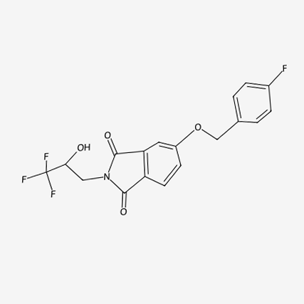 O=C1c2ccc(OCc3ccc(F)cc3)cc2C(=O)N1CC(O)C(F)(F)F